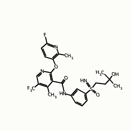 Cc1nc(F)ccc1Oc1ncc(C(F)(F)F)c(C)c1C(=O)Nc1cccc(S(=N)(=O)CCC(C)(C)O)c1